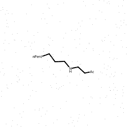 CCCCCCCCNCCC(C)=O